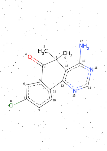 CC1(C)C(=O)c2cc(Cl)ccc2-c2ncnc(N)c21